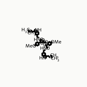 COc1ccc(C(OC(=O)C(=O)OC(C(=O)NCCc2ccc3[nH]cc(CCN(C)C)c3c2)c2ccc(OC)cc2)C(=O)NCCc2ccc3[nH]cc(CCN(C)C)c3c2)cc1